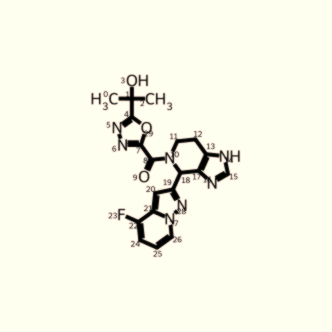 CC(C)(O)c1nnc(C(=O)N2CCc3[nH]cnc3C2c2cc3c(F)cccn3n2)o1